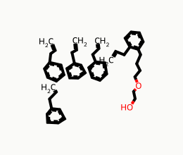 C=CCc1ccccc1.C=CCc1ccccc1.C=CCc1ccccc1.C=CCc1ccccc1.C=CCc1ccccc1CCCCOCCO